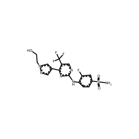 NS(=O)(=O)c1ccc(Nc2ncc(C(F)(F)F)c(-c3cnn(CCO)c3)n2)c(F)c1